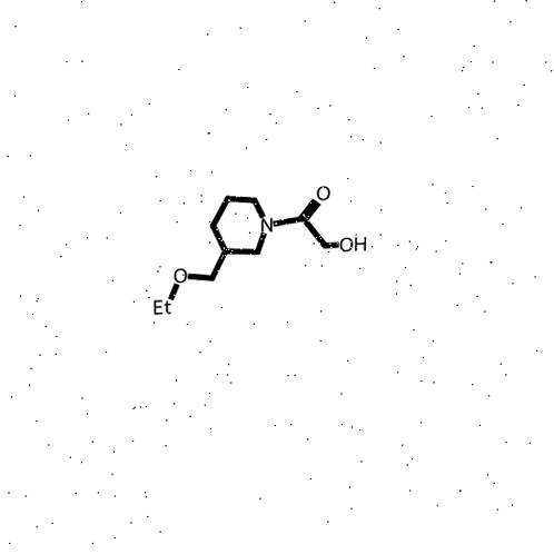 CCOCC1CCCN(C(=O)CO)C1